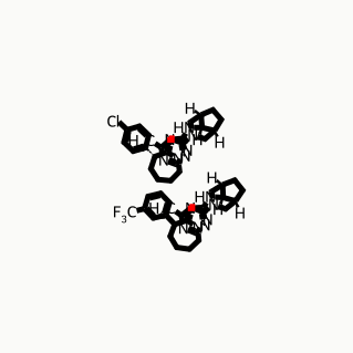 Cc1cc(N2C[C@H]3CC[C@@H](C2)[C@H]3Nc2nc3n(n2)CCCCC3c2cccc(C(F)(F)F)c2)ncn1.Cc1cc(N2C[C@H]3CC[C@@H](C2)[C@H]3Nc2nc3n(n2)CCCC[C@@H]3c2ccc(Cl)cc2)ncn1